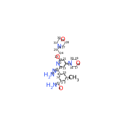 Cc1cc(C(N)=O)cc(/C(=N\N)c2cc(N3CCOCC3)cc(OCCN3CCOCC3)n2)c1